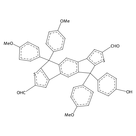 COc1ccc(C2(c3ccc(O)cc3)c3cc4c(cc3-c3cc(C=O)sc32)C(c2ccc(OC)cc2)(c2ccc(OC)cc2)c2sc(C=O)cc2-4)cc1